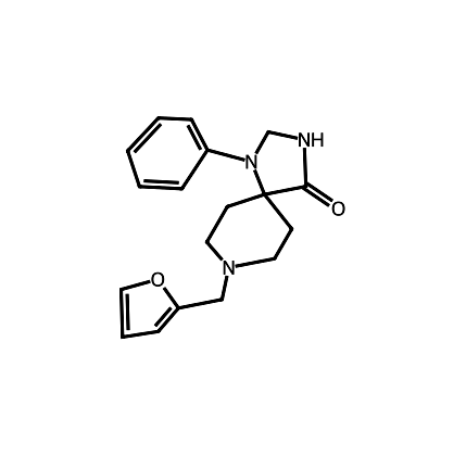 O=C1NCN(c2ccccc2)C12CCN(Cc1ccco1)CC2